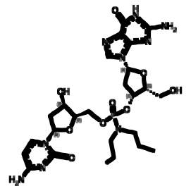 CCCN(CCC)P(=O)(OC[C@H]1O[C@@H](n2ccc(N)nc2=O)C[C@H]1O)O[C@@H]1C[C@H](n2cnc3c(=O)[nH]c(N)nc32)O[C@@H]1CO